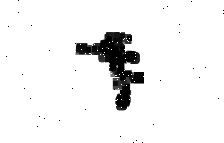 COc1cc(OC)c(Cl)c(-c2cc3cnc(/C(C=N)=C/NCCN4CCOCC4)cc3n(C3CCOC3)c2=O)c1Cl